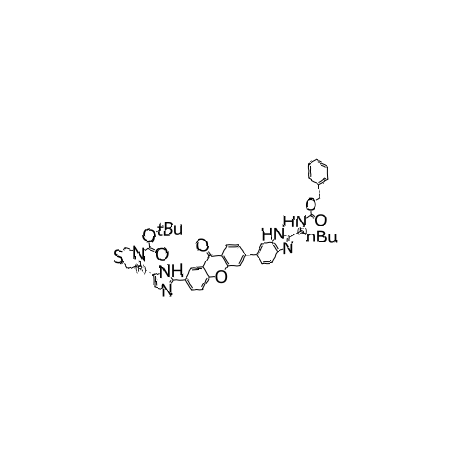 CCCC[C@H](NC(=O)OCc1ccccc1)c1nc2ccc(-c3ccc4c(=O)c5cc(-c6ncc([C@@H]7CSCN7C(=O)OC(C)(C)C)[nH]6)ccc5oc4c3)cc2[nH]1